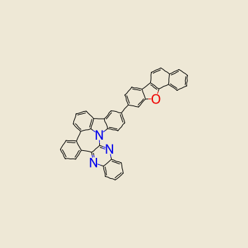 c1ccc2c(c1)-c1nc3ccccc3nc1-n1c3ccc(-c4ccc5c(c4)oc4c6ccccc6ccc54)cc3c3cccc-2c31